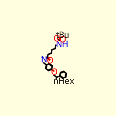 CCCCCCC(COc1ccc(CN(C)C(=O)CCCCCNC(=O)OC(C)(C)C)cc1)c1ccccc1